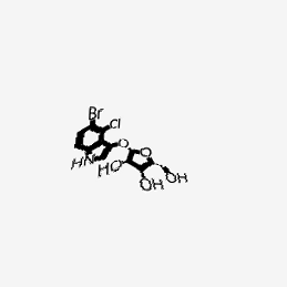 OC[C@H]1O[C@H](Oc2c[nH]c3ccc(Br)c(Cl)c23)[C@H](O)[C@@H]1O